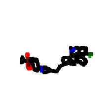 CC(=O)O[C@H]1CCC[C@@H]1C1(C2CCC(CCCC3CN(c4ccc(S(=O)(=O)C5CC5)cc4)C3)CC2)CN(C)Cc2ccc(F)cc21